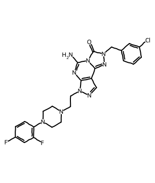 Nc1nc2c(cnn2CCN2CCN(c3ccc(F)cc3F)CC2)c2nn(Cc3cccc(Cl)c3)c(=O)n12